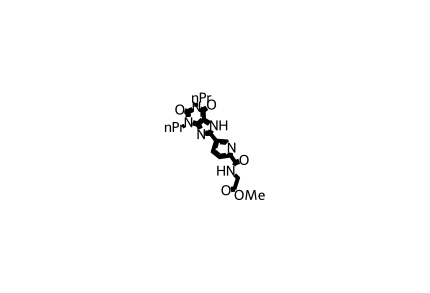 CCCn1c(=O)c2[nH]c(-c3ccc(C(=O)NCC(=O)OC)nc3)nc2n(CCC)c1=O